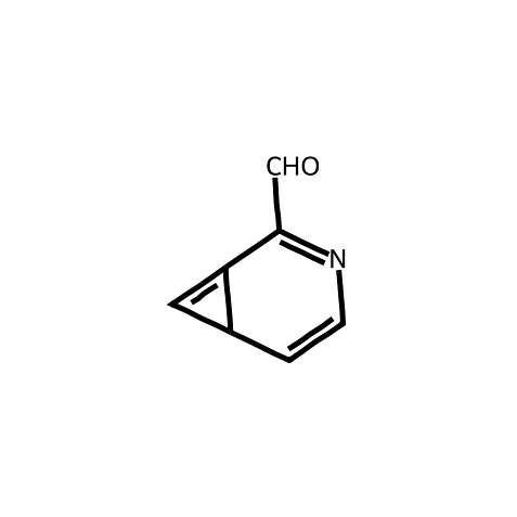 O=CC1=NC=CC2C=C12